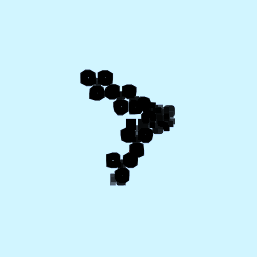 Cc1ccc2ncccc2c1-c1cc(N)nc(NC(=O)C(C)N(C)C(=O)OC(C)(C)C)c1.[Pd].c1ccc(P(c2ccccc2)c2ccccc2)cc1.c1ccc(P(c2ccccc2)c2ccccc2)cc1.c1ccc(P(c2ccccc2)c2ccccc2)cc1.c1ccc(P(c2ccccc2)c2ccccc2)cc1